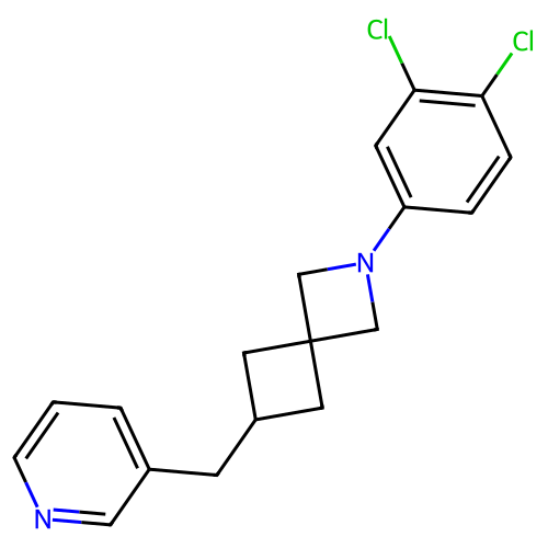 Clc1ccc(N2CC3(CC(Cc4cccnc4)C3)C2)cc1Cl